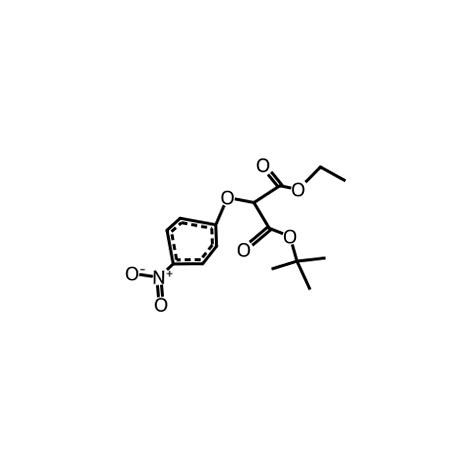 CCOC(=O)C(Oc1ccc([N+](=O)[O-])cc1)C(=O)OC(C)(C)C